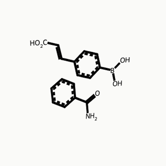 NC(=O)c1ccccc1.O=C(O)C=Cc1ccc(B(O)O)cc1